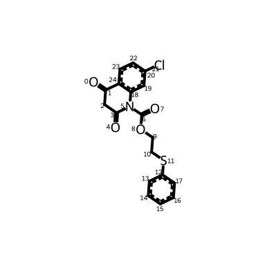 O=C1CC(=O)N(C(=O)OCCSc2ccccc2)c2cc(Cl)ccc21